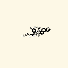 CCNC/C=C\c1cc(F)ccc1S(=O)(=O)Nc1ccc2c(c1OC(=O)O)OCc1occc1-2